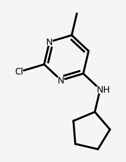 Cc1cc(NC2CCCC2)nc(Cl)n1